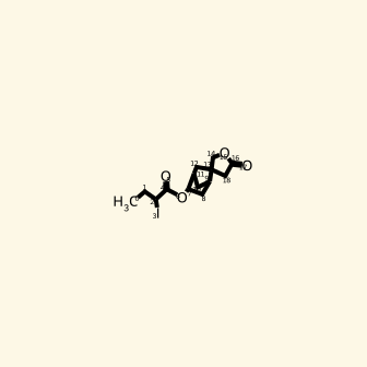 CCC(I)C(=O)OC1CC2CC1CC21COC(=O)C1